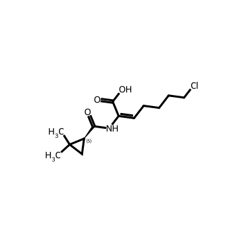 CC1(C)C[C@@H]1C(=O)NC(=CCCCCCl)C(=O)O